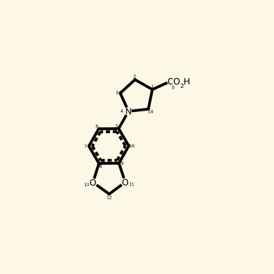 O=C(O)C1CCN(c2ccc3c(c2)OCO3)C1